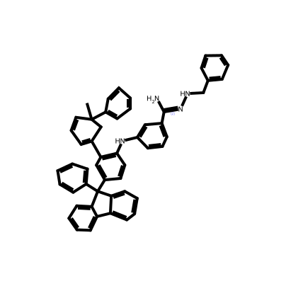 CC1(c2ccccc2)C=CC=C(c2cc(C3(c4ccccc4)c4ccccc4-c4ccccc43)ccc2Nc2cccc(/C(N)=N/NCc3ccccc3)c2)C1